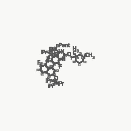 CCCCCC(CC)c1nc(OCC2(C)CCCN(C)C2)nc2c(F)c(-c3cc(O[Si](C(C)C)(C(C)C)C(C)C)cc4ccc(F)c(C#C[Si](C(C)C)(C(C)C)C(C)C)c34)c(F)cc12